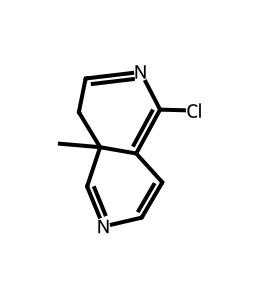 CC12C=NC=CC1=C(Cl)N=CC2